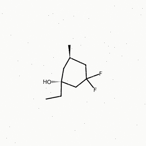 CC[C@@]1(O)C[C@@H](C)CC(F)(F)C1